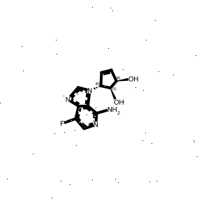 Nc1ncc(F)c2ncn([C@@H]3C=C[C@@H](O)[C@H]3O)c12